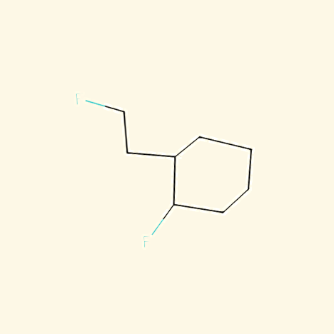 FCC[C]1CCCCC1F